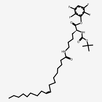 CCCCCCCC/C=C\CCCCCCCC(=O)NCCCC[C@H](NC(=O)OC(C)(C)C)C(=O)Oc1c(F)c(F)cc(F)c1F